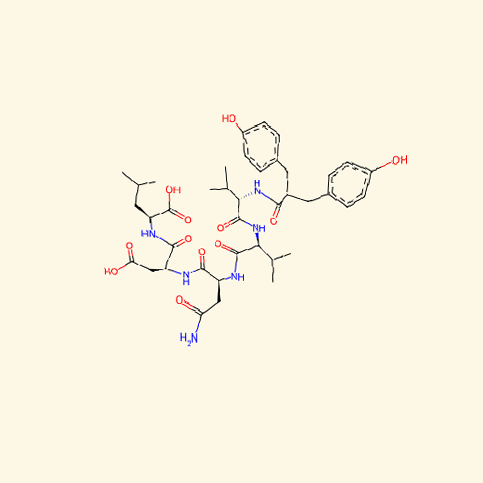 CC(C)C[C@H](NC(=O)[C@H](CC(=O)O)NC(=O)[C@H](CC(N)=O)NC(=O)[C@@H](NC(=O)[C@@H](NC(=O)C(Cc1ccc(O)cc1)Cc1ccc(O)cc1)C(C)C)C(C)C)C(=O)O